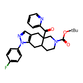 CC(C)(C)OC(=O)N1CCC2Cc3c(cnn3-c3ccc(F)cc3)CC2(C(=O)c2ccccn2)C1